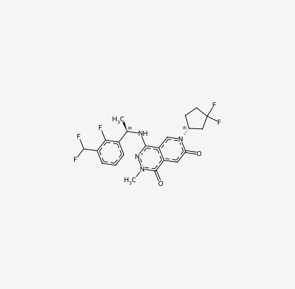 C[C@@H](Nc1nn(C)c(=O)c2cc(=O)n([C@@H]3CCC(F)(F)C3)cc12)c1cccc(C(F)F)c1F